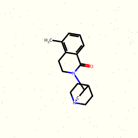 Cc1cccc2c1CCN(C1CN3CCC1CC3)C2=O